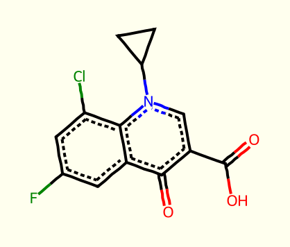 O=C(O)c1cn(C2CC2)c2c(Cl)cc(F)cc2c1=O